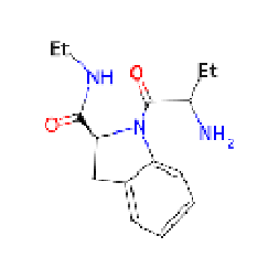 CCNC(=O)[C@@H]1Cc2ccccc2N1C(=O)C(N)CC